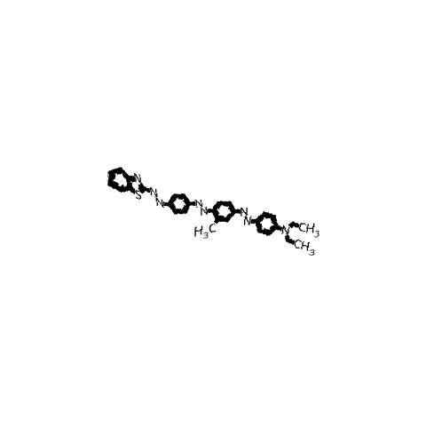 CCN(CC)c1ccc(N=Nc2ccc(N=Nc3ccc(N=Nc4nc5ccccc5s4)cc3)c(C)c2)cc1